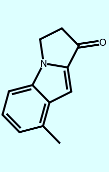 Cc1cccc2c1cc1n2CCC1=O